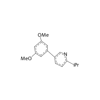 COc1cc(OC)cc(-c2ccc(C(C)C)nc2)c1